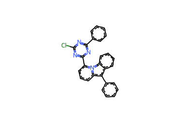 Clc1nc(-c2ccccc2)nc(-c2cccc3c(-c4ccccc4)c4ccccc4n23)n1